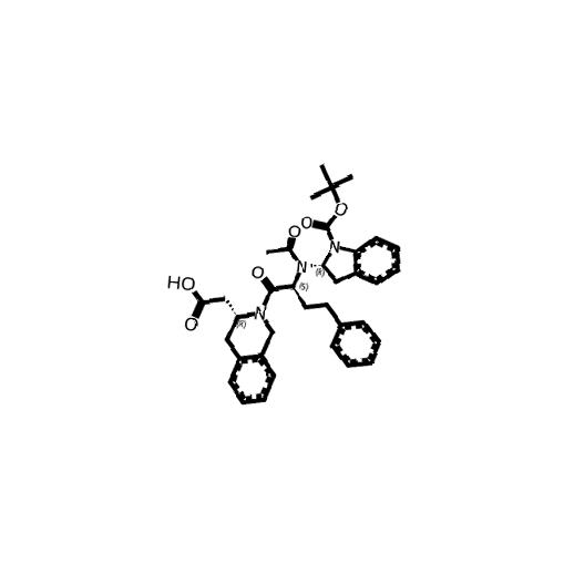 CC(=O)N([C@@H](CCc1ccccc1)C(=O)N1Cc2ccccc2C[C@@H]1CC(=O)O)[C@H]1Cc2ccccc2N1C(=O)OC(C)(C)C